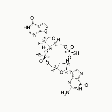 Nc1nc2c(ncn2[C@@H]2O[C@@H]3CO[P@](=O)(S)O[C@H]4[C@H](F)[C@H](n5ccc6c(=O)[nH]cnc65)O[C@@H]4CO[P@@](=O)(S)O[C@@H]2C3)c(=O)[nH]1